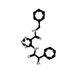 CCC(C(=O)Nc1snnc1C(=O)NCc1ccccc1)c1ccccc1